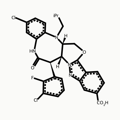 CC(C)CN1c2ccc(Cl)cc2NC(=O)[C@H](c2cccc(Cl)c2F)[C@@H]2[C@H]1COc1c3ccc(C(=O)O)cc3nn12